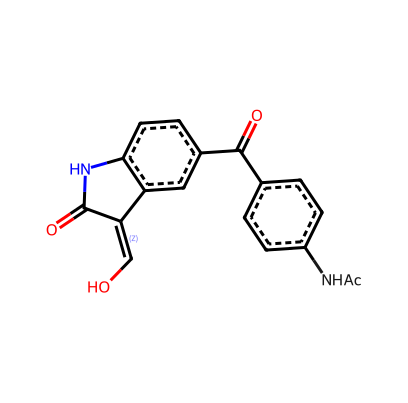 CC(=O)Nc1ccc(C(=O)c2ccc3c(c2)/C(=C/O)C(=O)N3)cc1